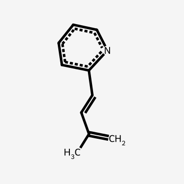 C=C(C)/C=C/c1ccccn1